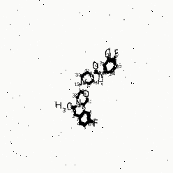 CC(Cc1ccc(F)cc1)N1CCO[C@@H](CN2CCN(C(=O)Nc3ccc(F)c(Cl)c3)CC2)C1